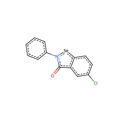 O=c1c2cc(Cl)ccc2[se]n1-c1ccccc1